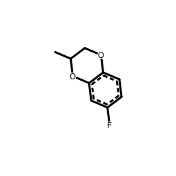 CC1COc2ccc(F)cc2O1